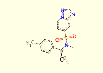 CN([C@H](c1ccc(C(F)(F)F)cc1)C(F)(F)F)S(=O)(=O)c1ccn2ncnc2c1